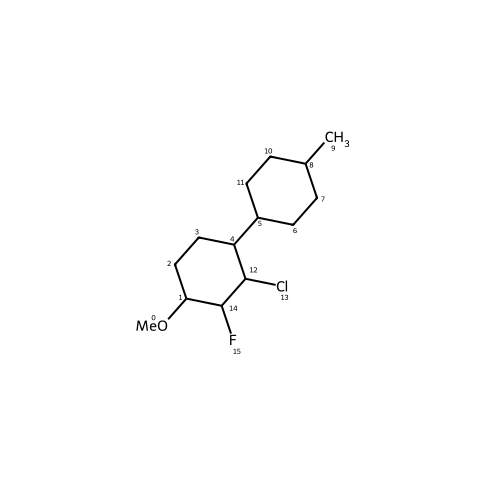 COC1CCC(C2CCC(C)CC2)C(Cl)C1F